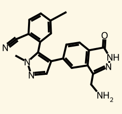 Cc1ccc(C#N)c(-c2c(-c3ccc4c(=O)[nH]nc(CN)c4c3)cnn2C)c1